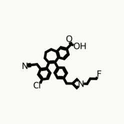 N#CCc1cc(Cl)ccc1C1=C(c2ccc(CC3CN(CCCF)C3)cc2)c2ccc(C(=O)O)cc2CCC1